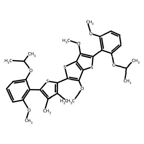 COc1cccc(OC(C)C)c1-c1sc(-c2sc3c(OC)c(-c4c(OC)cccc4OC(C)C)sc3c2OC)c(C)c1C